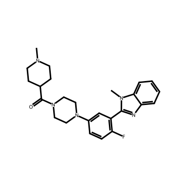 CN1CCC(C(=O)N2CCN(c3ccc(F)c(-c4nc5ccccc5n4C)c3)CC2)CC1